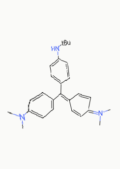 CN(C)c1ccc(C(=C2C=CC(=[N+](C)C)C=C2)c2ccc(NC(C)(C)C)cc2)cc1